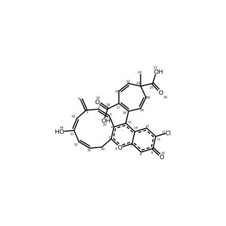 C=C1/C=C\c2c(oc3cc(=O)c(Cl)cc-3c2C2=C(C(=O)O)C=CC(C)(C(=O)O)C=C2)C/C=C\C(O)=C/1